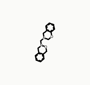 c1ccc2c(c1)CON(CN1COc3ccccc3C1)C2